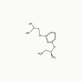 CCCC(CCC)COc1cccc(O[C@@H](C)CN)c1